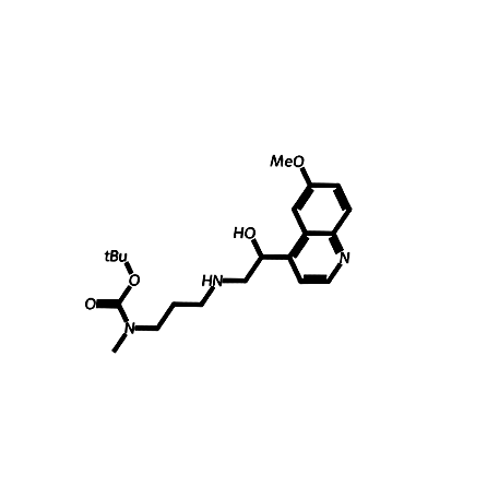 COc1ccc2nccc(C(O)CNCCCN(C)C(=O)OC(C)(C)C)c2c1